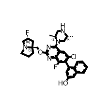 C[C@@H]1CN(c2nc(OC[C@@]34CCCN3C[C@H](F)C4)nc3c(F)c(-c4cc(O)cc5ccccc45)c(Cl)cc23)[C@@H](C)CN1